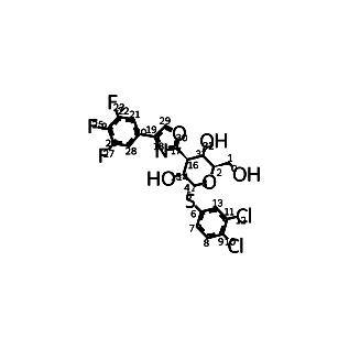 OC[C@H]1O[C@H](Sc2ccc(Cl)c(Cl)c2)[C@H](O)[C@@H](c2nc(-c3cc(F)c(F)c(F)c3)co2)[C@H]1O